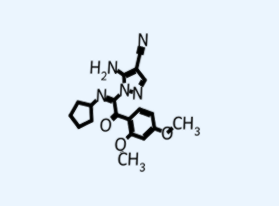 COc1ccc(C(=O)C(=NC2CCCC2)n2ncc(C#N)c2N)c(OC)c1